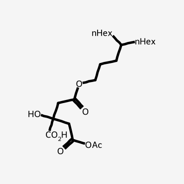 CCCCCCC(CCCCCC)CCCOC(=O)CC(O)(CC(=O)OC(C)=O)C(=O)O